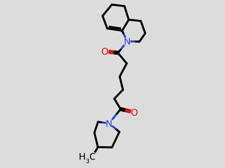 CC1CCN(C(=O)CCCCC(=O)N2CCCC3CCCC=C32)CC1